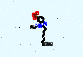 CCCCCCCCCCCCCCCCc1nc2ccc(S(=O)(=O)[O-])cc2[nH]1.[Na+]